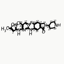 Cc1cc(Nc2nc(Nc3cc4c(cc3F)CN(C3CCNCC3)C4=O)ncc2Cl)no1